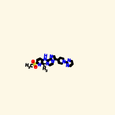 Cc1nc(S(C)(=O)=O)ccc1Nc1nccn2c(C3=CCN(c4ncccn4)CC3)cnc12